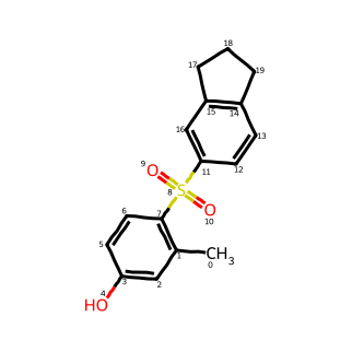 Cc1cc(O)ccc1S(=O)(=O)c1ccc2c(c1)CCC2